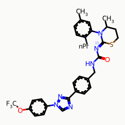 CCCc1ccc(C)cc1N1/C(=N/C(=O)NCc2ccc(-c3ncn(-c4ccc(OC(F)(F)F)cc4)n3)cc2)SCCC1C